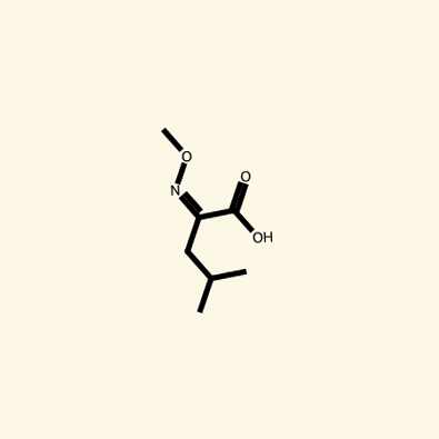 CON=C(CC(C)C)C(=O)O